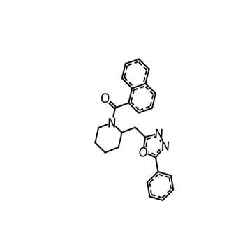 O=C(c1cccc2ccccc12)N1CCCCC1Cc1nnc(-c2ccccc2)o1